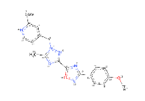 COc1cc(Cn2nc(-c3nc(-c4ccc(OC(F)(F)F)cc4)no3)nc2C)ccn1